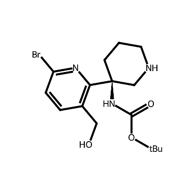 CC(C)(C)OC(=O)N[C@@]1(c2nc(Br)ccc2CO)CCCNC1